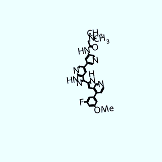 COc1cc(F)cc(-c2ccnc3[nH]c(-c4n[nH]c5ncc(-c6cncc(NC(=O)CN(C)C)c6)cc45)cc23)c1